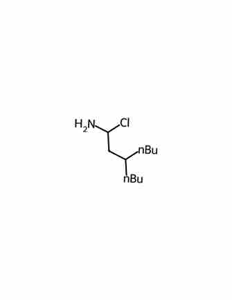 CCCCC(CCCC)CC(N)Cl